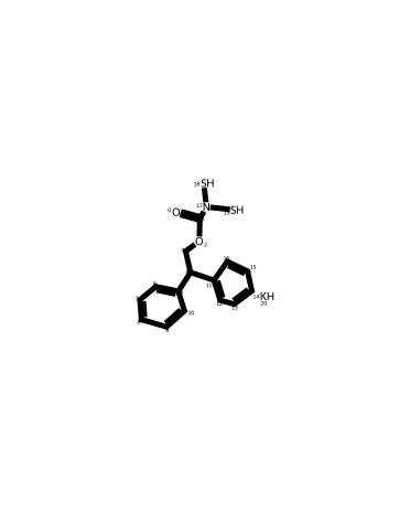 O=C(OCC(c1ccccc1)c1ccccc1)N(S)S.[KH]